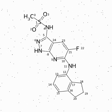 CS(=O)(=O)Nc1n[nH]c2nc(Nc3cccc4c3CCC4)c(F)cc12